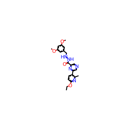 CCOc1ccc(-c2cncc(C(=O)NNCc3cc(OC)cc(OC)c3)n2)c(C)n1